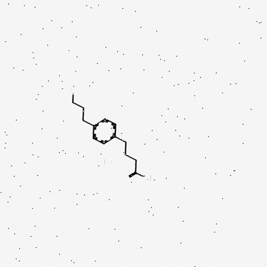 CCCCc1ccc(C[C@@H](O)CC(N)=O)cc1